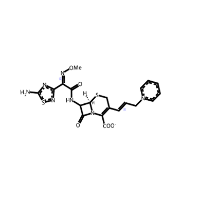 CO/N=C(\C(=O)NC1C(=O)N2C(C(=O)[O-])=C(/C=C/C[n+]3ccccc3)CS[C@H]12)c1nsc(N)n1